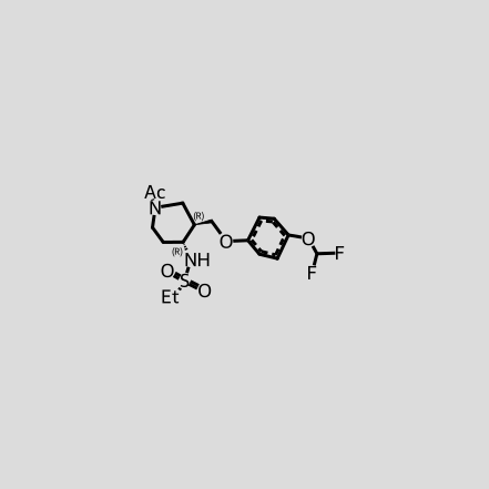 CCS(=O)(=O)N[C@@H]1CCN(C(C)=O)C[C@H]1COc1ccc(OC(F)F)cc1